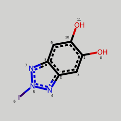 Oc1cc2nn(I)nc2cc1O